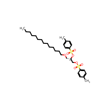 CCCCCCCCCCCCCCOC[C@@H](COS(=O)(=O)c1ccc(C)cc1)OS(=O)(=O)c1ccc(C)cc1